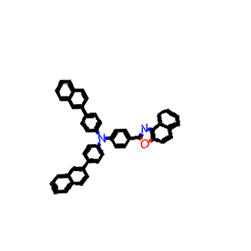 c1ccc2cc(-c3ccc(N(c4ccc(-c5ccc6ccccc6c5)cc4)c4ccc(-c5nc6c(ccc7ccccc76)o5)cc4)cc3)ccc2c1